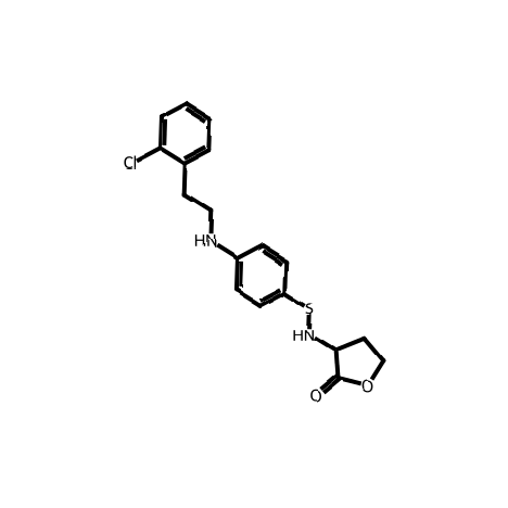 O=C1OCCC1NSc1ccc(NCCc2ccccc2Cl)cc1